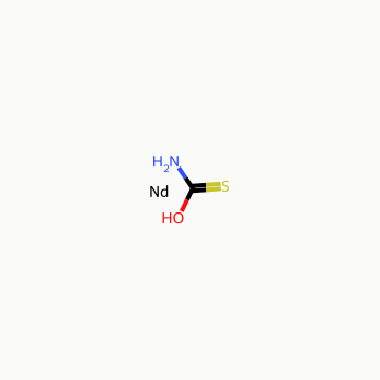 NC(O)=S.[Nd]